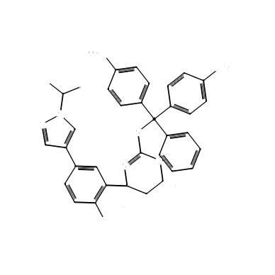 COc1ccc(C(NC2=N[C@](C)(c3cc(-c4cnn(C(F)F)c4)ccc3F)C[C@@H](C(F)(F)F)O2)(c2ccccc2)c2ccc(OC)cc2)cc1